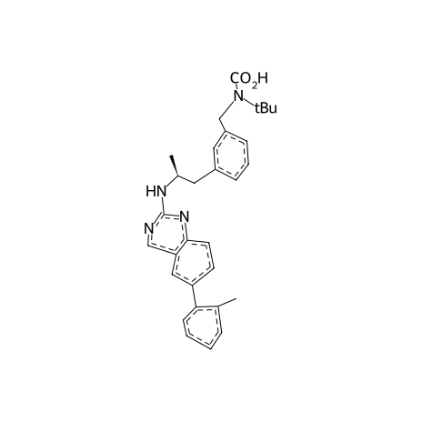 Cc1ccccc1-c1ccc2nc(N[C@@H](C)Cc3cccc(CN(C(=O)O)C(C)(C)C)c3)ncc2c1